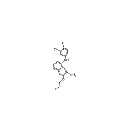 Nc1cc2c(Nc3ccc(F)c(Cl)c3)ncnc2cc1OCCF